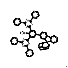 CC(C)(C)c1c(-c2nc(-c3ccccc3)nc(-c3ccccc3)n2)cc(-c2ccc3c(c2)C2(c4ccccc4-3)C3CC4CC(C3)CC2C4)cc1-c1nc(-c2ccccc2)nc(-c2ccccc2)n1